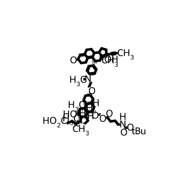 CC#C[C@]1(O)CCC2C3CCC4=CC(=O)CCC4=C3[C@@H](c3ccc(N(C)CCO[C@H]4CC[C@@]5(C)[C@@H](C4)C[C@@H](OCOC(=O)CCCNC(=O)OC(C)(C)C)[C@@H]4[C@@H]5C[C@H](O)[C@]5(C)[C@@H]([C@H](C)CCC(=O)O)CC[C@@H]45)cc3)C[C@@]21C